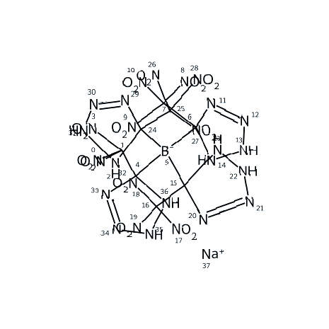 O=[N+]([O-])C([N+](=O)[O-])([N+](=O)[O-])C1([B-](C2(C([N+](=O)[O-])([N+](=O)[O-])[N+](=O)[O-])N=NNN2)(C2(C([N+](=O)[O-])([N+](=O)[O-])[N+](=O)[O-])N=NNN2)C2(C([N+](=O)[O-])([N+](=O)[O-])[N+](=O)[O-])N=NNN2)N=NNN1.[Na+]